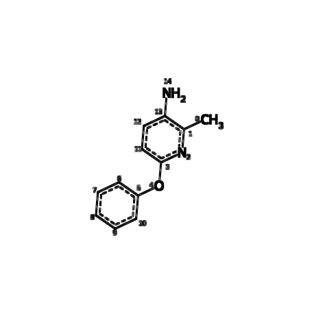 Cc1nc(Oc2ccccc2)ccc1N